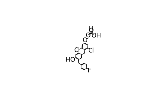 O=[PH](O)OCOc1cc(Cl)c(Cc2ccc(O)c(Cc3ccc(F)cc3)c2)c(Cl)c1